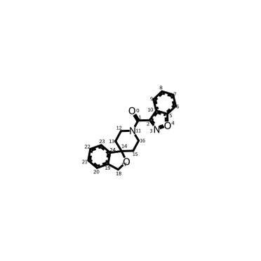 O=C(c1noc2ccccc12)N1CCC2(CC1)OCc1ccccc12